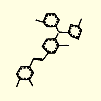 Cc1cccc(N(c2cccc(C)c2)c2ccc(C=Cc3ccc(C)c(C)c3)cc2C)c1